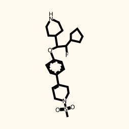 CS(=O)(=O)N1CC=C(c2ccc(OC(C3CCNCC3)C(F)C3CCCC3)cc2)CC1